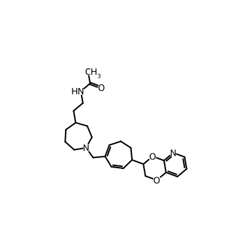 CC(=O)NCCC1CCCN(CC2=CCCC(C3COc4cccnc4O3)C=C2)CC1